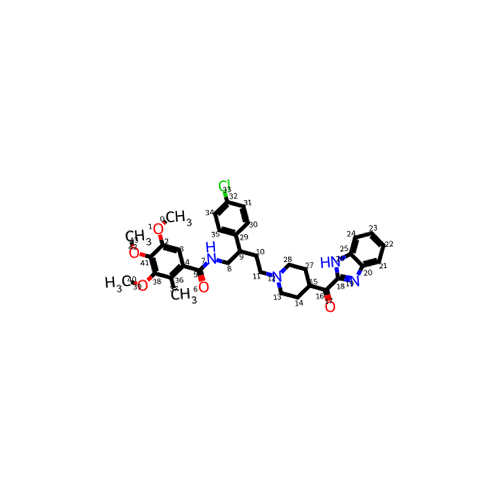 COc1cc(C(=O)NCC(CCN2CCC(C(=O)c3nc4ccccc4[nH]3)CC2)c2ccc(Cl)cc2)c(C)c(OC)c1OC